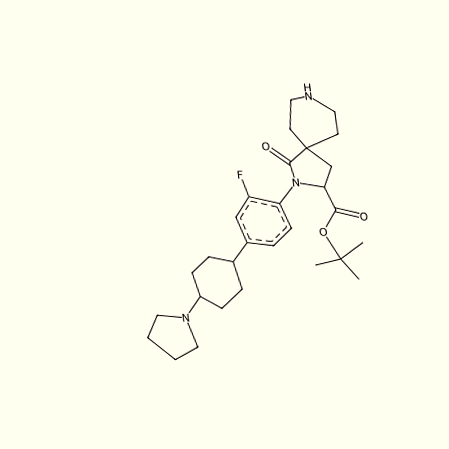 CC(C)(C)OC(=O)C1CC2(CCNCC2)C(=O)N1c1ccc(C2CCC(N3CCCC3)CC2)cc1F